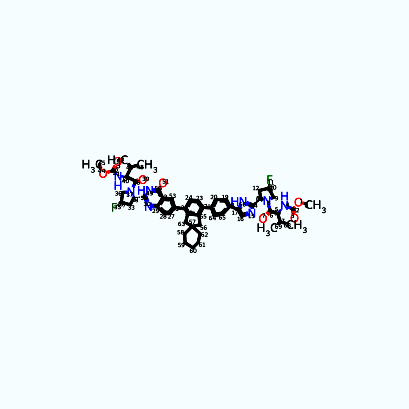 COC(=O)N[C@H](C(=O)N1C[C@H](F)C[C@@H]1c1ncc(-c2ccc(-c3ccc(-c4ccc5nc([C@@H]6C[C@H](F)CN6C(=O)[C@@H](NC(=O)OC)C(C)C)[nH]c(=O)c5c4)c4c3CC3(CCCCC3)C4)cc2)[nH]1)C(C)C